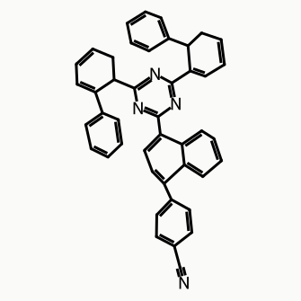 N#Cc1ccc(-c2ccc(-c3nc(C4=CC=CCC4c4ccccc4)nc(C4CC=CC=C4c4ccccc4)n3)c3ccccc23)cc1